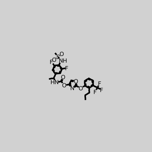 CCCc1c(Oc2nc(OC(=O)NC(C)c3cc(F)c(NS(C)(=O)=O)c(F)c3)co2)cccc1C(F)(F)F